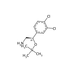 C[Si](C)(C)O[C@@H](CN)c1ccc(Cl)c(Cl)c1